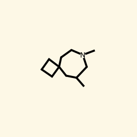 CC1CN(C)CCC2(CCC2)C1